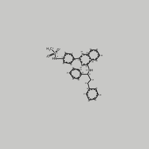 CS(=O)(=O)Nc1ccc(-c2nc(NC(CCc3ccccc3)c3ccccc3)c3ccccc3n2)cc1